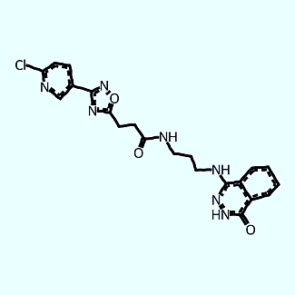 O=C(CCc1nc(-c2ccc(Cl)nc2)no1)NCCCNc1n[nH]c(=O)c2ccccc12